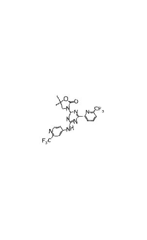 CC1(C)CN(c2nc(Nc3ccnc(C(F)(F)F)c3)nc(-c3cccc(C(F)(F)F)n3)n2)C(=O)O1